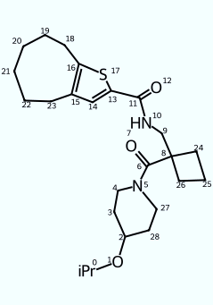 CC(C)OC1CCN(C(=O)C2(CNC(=O)c3cc4c(s3)CCCCCC4)CCC2)CC1